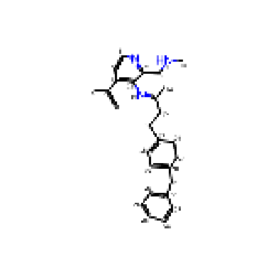 C=C(C)c1ccnc(CNC)c1/N=C(\C)CCC1=CC=C(Cc2ccccc2)CC1